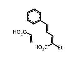 C=CC(=O)O.CCC(=CC=Cc1ccccc1)C(=O)O